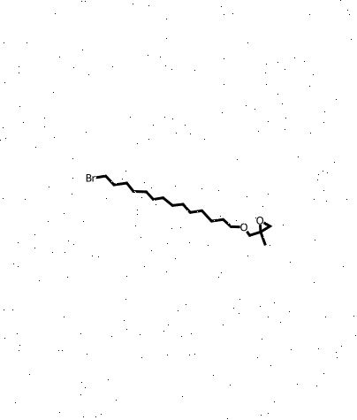 CC1(COCCCCCCCCCCCCCCBr)CO1